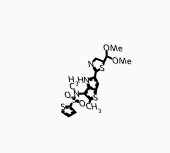 COC(OC)C1CN=C(c2cc3sc(C)c(N(C)S(=O)(=O)c4cccs4)c3[nH]2)S1